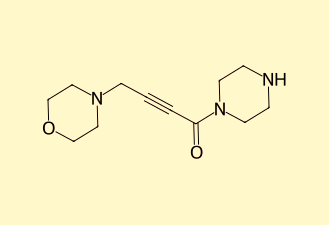 O=C(C#CCN1CCOCC1)N1CCNCC1